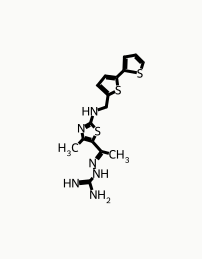 CC(=NNC(=N)N)c1sc(NCc2ccc(-c3cccs3)s2)nc1C